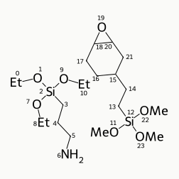 CCO[Si](CCCN)(OCC)OCC.CO[Si](CCC1CCC2OC2C1)(OC)OC